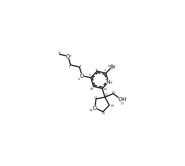 COCCOc1cc(Br)nc(C2(CO)CCOC2)c1